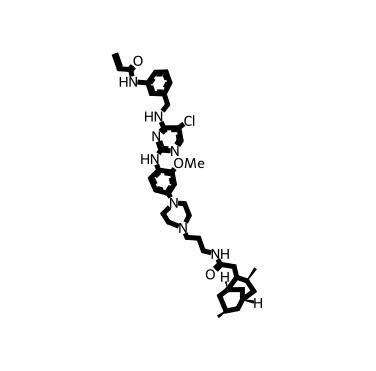 C=CC(=O)Nc1cccc(CNc2nc(Nc3ccc(N4CCN(CCCNC(=O)CC5[C@@H]6C[C@H](C)C[C@H](C6)C[C@@H]5C)CC4)cc3OC)ncc2Cl)c1